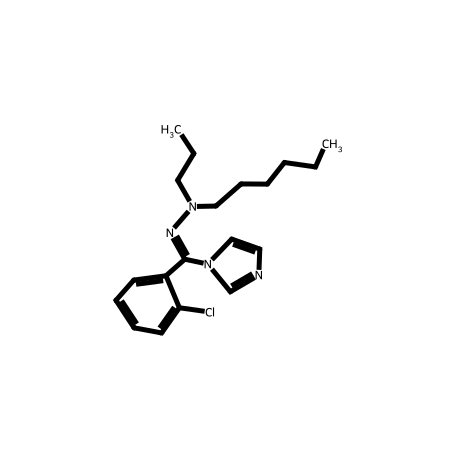 CCCCCCN(CCC)N=C(c1ccccc1Cl)n1ccnc1